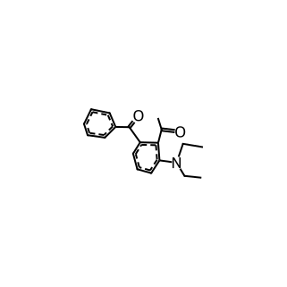 CCN(CC)c1cccc(C(=O)c2ccccc2)c1C(C)=O